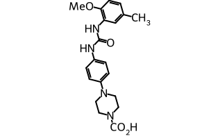 COc1ccc(C)cc1NC(=O)Nc1ccc(N2CCN(C(=O)O)CC2)cc1